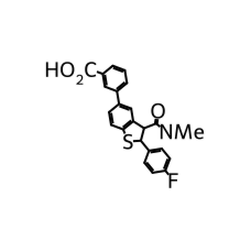 CNC(=O)C1c2cc(-c3cccc(C(=O)O)c3)ccc2SC1c1ccc(F)cc1